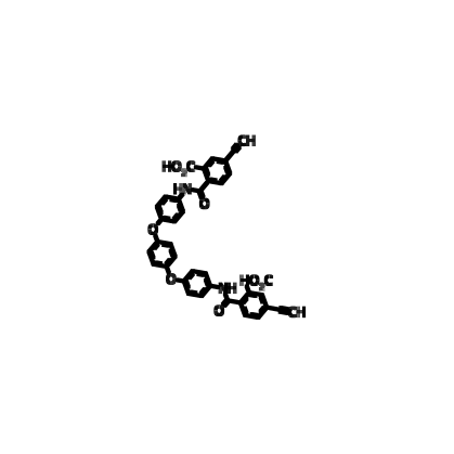 C#Cc1ccc(C(=O)Nc2ccc(Oc3ccc(Oc4ccc(NC(=O)c5ccc(C#C)cc5C(=O)O)cc4)cc3)cc2)c(C(=O)O)c1